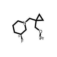 CC(C)OCC1(CN2CCC[C@H](F)C2)CC1